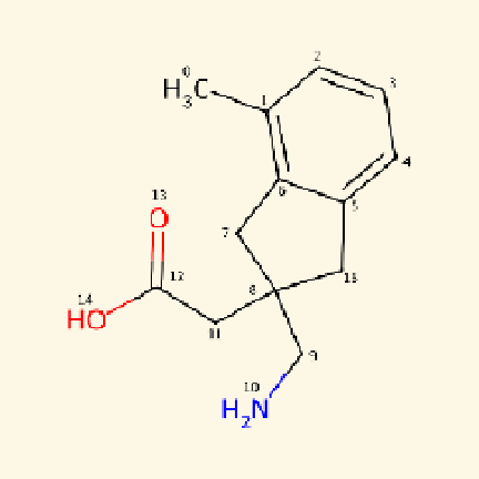 Cc1cccc2c1CC(CN)(CC(=O)O)C2